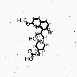 COc1ccc2ccc(Br)c(C(CO)CN3CCC(NC(=O)O)CC3)c2n1